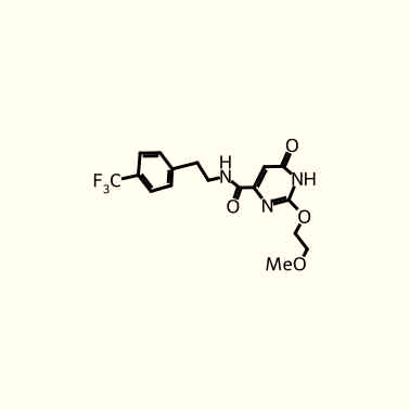 COCCOc1nc(C(=O)NCCc2ccc(C(F)(F)F)cc2)cc(=O)[nH]1